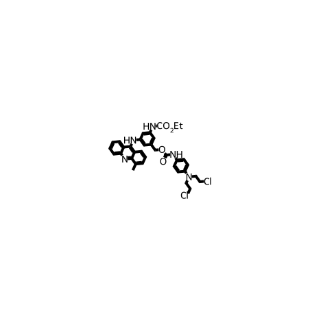 CCOC(=O)Nc1cc(COC(=O)Nc2ccc(N(CCCl)CCCl)cc2)cc(Nc2c3ccccc3nc3c(C)cccc23)c1